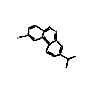 CC(C)c1ccc2c(c1)ncc1ccc(Cl)cc12